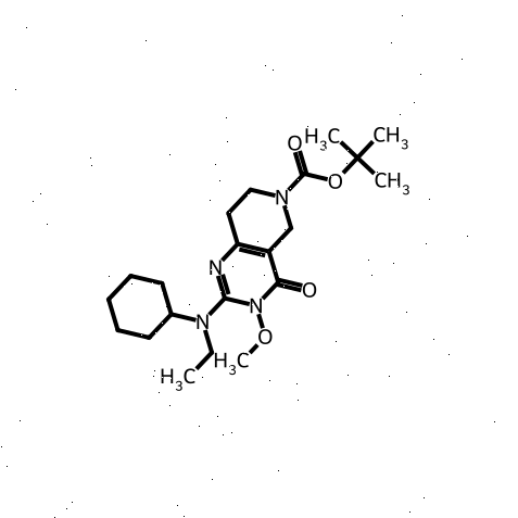 CCN(c1nc2c(c(=O)n1OC)CN(C(=O)OC(C)(C)C)CC2)C1CCCCC1